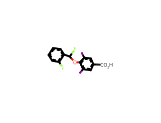 O=C(O)c1cc(I)c(OC(F)c2ccccc2F)c(I)c1